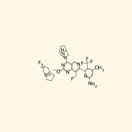 Cc1cc(N)nc(-c2ncc3c(N4CC5CCC(C4)N5)nc(OC[C@]45CCCN4C[C@@H](F)C5)nc3c2CF)c1C(F)(F)F